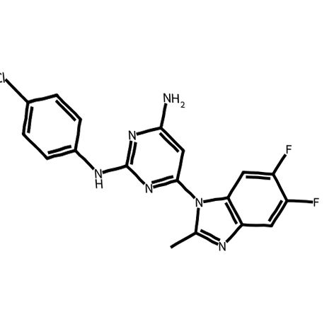 Cc1nc2cc(F)c(F)cc2n1-c1cc(N)nc(Nc2ccc(Cl)cc2)n1